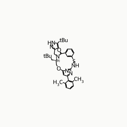 Cc1cccc(C)c1-c1cc2nc(n1)NSc1cccc(c1)C(=O)N(Cc1cc(C(C)(C)C)[nH]n1)[C@H](CC(C)(C)C)CO2